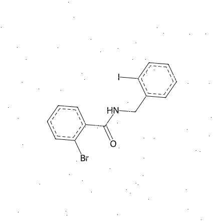 O=C(NCc1ccccc1I)c1ccccc1Br